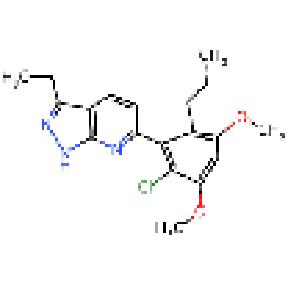 CCCc1c(OC)cc(OC)c(Cl)c1-c1ccc2c(CC)n[nH]c2n1